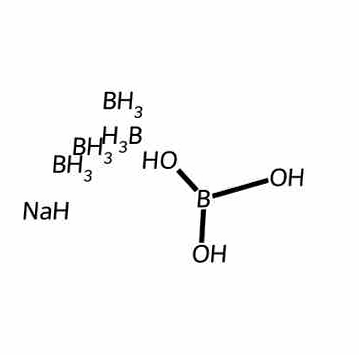 B.B.B.B.OB(O)O.[NaH]